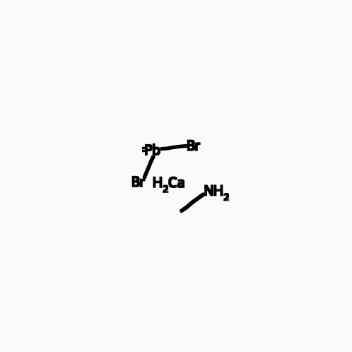 CN.[Br][Pb][Br].[CaH2]